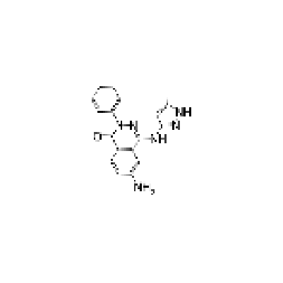 Cc1cc(Nc2nn(-c3ccccc3)c(=O)c3ccc(N)cc23)n[nH]1